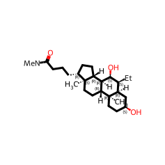 CC[C@@H]1[C@H](O)[C@H]2[C@@H](CC[C@@]3(C)[C@H](CCCC(=O)NC)CC[C@H]23)[C@]2(C)CC[C@H](O)C[C@H]12